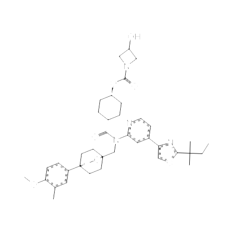 CCC(C)(C)c1nc(-c2ccnc(N(CC34CCC(c5ccc(OC)c(C)c5)(CC3)CC4)C(=O)[C@H]3CC[C@H](OC(=O)N4CC(O)C4)CC3)c2)co1